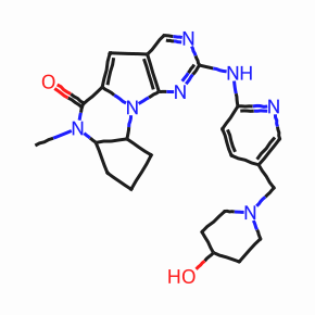 CN1C(=O)c2cc3cnc(Nc4ccc(CN5CCC(O)CC5)cn4)nc3n2C2CCCC21